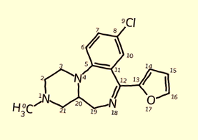 CN1CCN2c3ccc(Cl)cc3C(c3ccco3)=NCC2C1